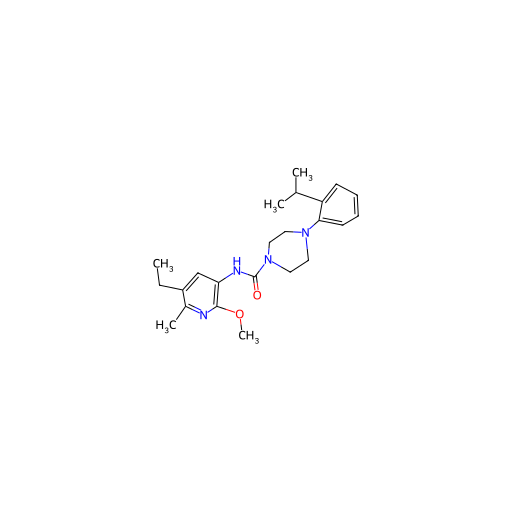 CCc1cc(NC(=O)N2CCN(c3ccccc3C(C)C)CC2)c(OC)nc1C